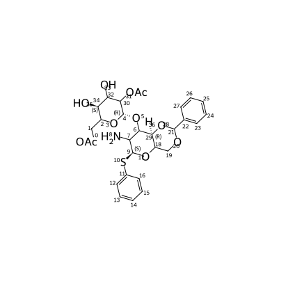 CC(=O)OCC1O[C@@H](OC2C(N)[C@H](Sc3ccccc3)OC3COC(c4ccccc4)O[C@@H]32)C(OC(C)=O)C(O)[C@@H]1O